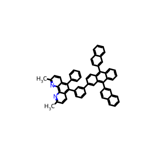 Cc1ccc2c(-c3ccccc3)c(-c3cccc(-c4ccc5c(-c6ccc7ccccc7c6)c6ccccc6c(-c6ccc7ccccc7c6)c5c4)c3)c3ccc(C)nc3c2n1